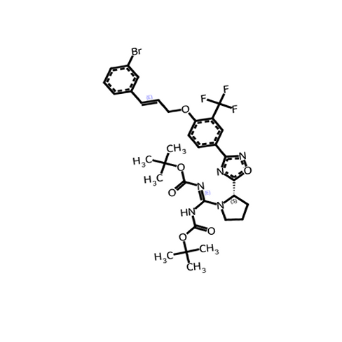 CC(C)(C)OC(=O)/N=C(\NC(=O)OC(C)(C)C)N1CCC[C@H]1c1nc(-c2ccc(OC/C=C/c3cccc(Br)c3)c(C(F)(F)F)c2)no1